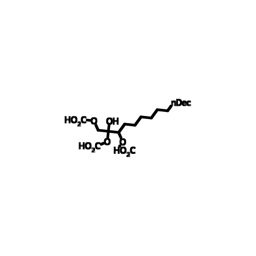 CCCCCCCCCCCCCCCCC(OC(=O)O)C(O)(COC(=O)O)OC(=O)O